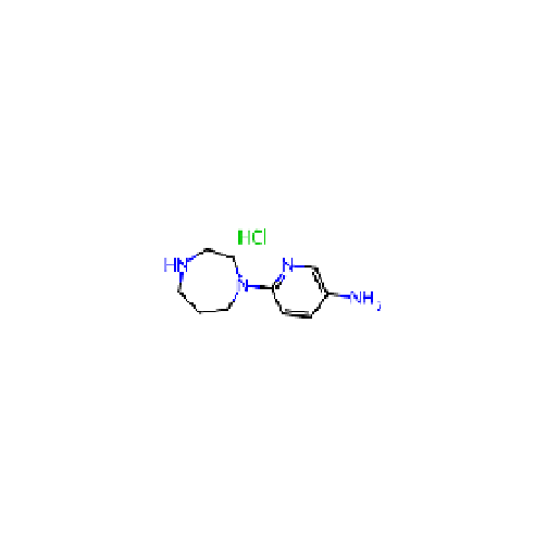 Cl.Nc1ccc(N2CCCNCC2)nc1